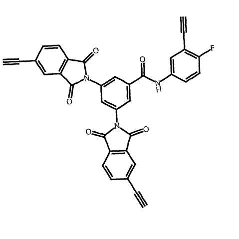 C#Cc1ccc2c(c1)C(=O)N(c1cc(C(=O)Nc3ccc(F)c(C#C)c3)cc(N3C(=O)c4ccc(C#C)cc4C3=O)c1)C2=O